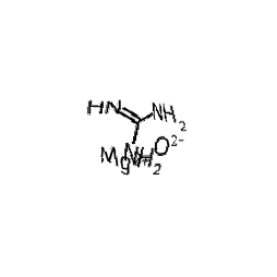 N=C(N)N.[Mg+2].[O-2]